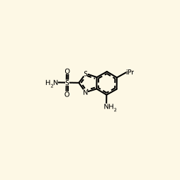 CC(C)c1cc(N)c2nc(S(N)(=O)=O)sc2c1